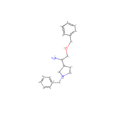 NC(COCc1ccccc1)C1CCN(Cc2ccccc2)C1